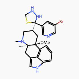 CO[C@]12C[C@@H](C3(c4cncc(Br)c4)NNCS3)CN(C)[C@@H]1Cc1c[nH]c3cccc2c13